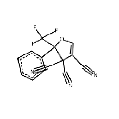 N#CC1=COC(c2ccccc2)(C(F)(F)F)C1(C#N)C#N